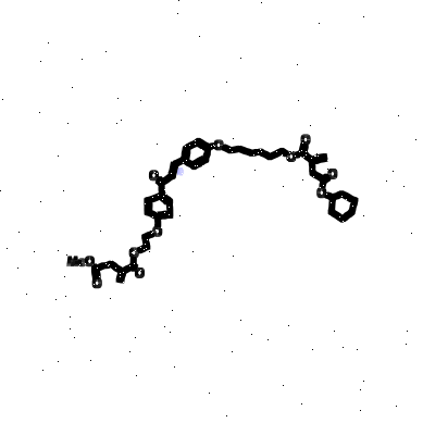 C=C(CC(=O)OC)C(=O)OCCOc1ccc(C(=O)/C=C/c2ccc(OCCCCCCOC(=O)C(=C)CC(=O)OC3CCCCC3)cc2)cc1